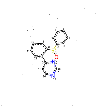 [O-][S+](c1ccccc1)c1ccccc1-c1ccncn1